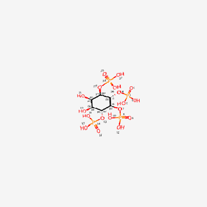 O=P(O)(O)O[C@@H]1[C@@H](OP(=O)(O)O)[C@H](OP(=O)(O)O)[C@@H](O)[C@@H](O)[C@H]1OP(=O)(O)O